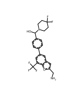 NCc1cc2cc(-c3ccc(C(O)N4CCC(F)(F)CC4)cc3)cc(C(F)(F)F)c2o1